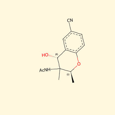 CC(=O)NC1(C)[C@H](C)Oc2ccc(C#N)cc2[C@H]1O